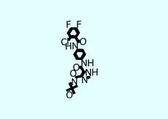 O=C(Nc1ccc(NC(=O)c2[nH]cnc2C(=O)N2CC3(COC3)C2)cc1)c1cc(F)c(F)cc1Cl